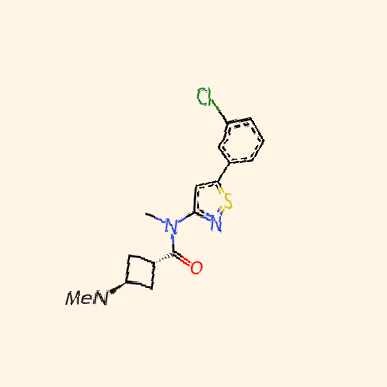 CN[C@H]1C[C@H](C(=O)N(C)c2cc(-c3cccc(Cl)c3)sn2)C1